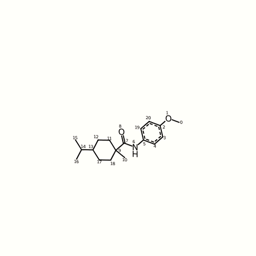 COc1ccc(NC(=O)C2(C)CCC(C(C)C)CC2)cc1